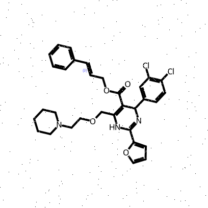 O=C(OC/C=C/c1ccccc1)C1=C(COCCN2CCCCC2)NC(c2ccco2)=NC1c1ccc(Cl)c(Cl)c1